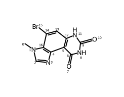 Cn1cnc2c3c(=O)[nH]c(=O)[nH]c3cc(Br)c21